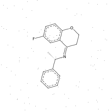 C[C@H](/N=C1/CCOc2ccc(F)cc21)c1ccccc1